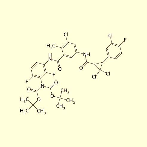 Cc1c(Cl)cc(NC(=O)C2C(c3ccc(F)c(Cl)c3)C2(Cl)Cl)cc1C(=O)Nc1ccc(F)c(N(C(=O)OC(C)(C)C)C(=O)OC(C)(C)C)c1F